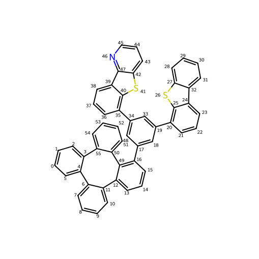 c1ccc2c(c1)-c1ccccc1-c1cccc(-c3cc(-c4cccc5c4sc4ccccc45)cc(-c4cccc5c4sc4cccnc45)c3)c1-c1ccccc1-2